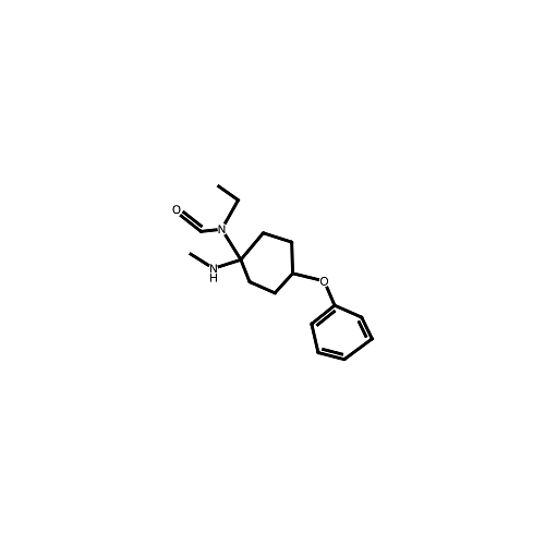 CCN(C=O)C1(NC)CCC(Oc2ccccc2)CC1